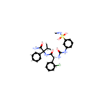 CNS(=O)(=O)c1cccc(NC(=O)N[C@@H](C(=O)NC(C(N)=O)(c2ccccc2)C(C)C)c2ccccc2Cl)c1